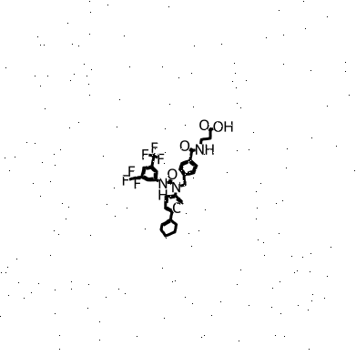 O=C(O)CCNC(=O)c1ccc(CN(C(=O)Nc2cc(C(F)(F)F)cc(C(F)(F)F)c2)c2ccc(C3=CCCCC3)cc2)cc1